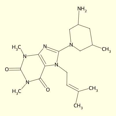 CC(C)=CCn1c(N2CC(C)CC(N)C2)nc2c1c(=O)n(C)c(=O)n2C